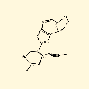 CC#C[C@H]1C[C@@H](C)NCN1c1nc2c3c(ccc2s1)OCC3